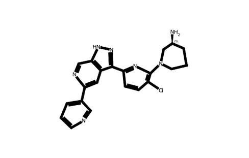 N[C@H]1CCCN(c2nc(-c3n[nH]c4cnc(-c5cccnc5)cc34)ccc2Cl)C1